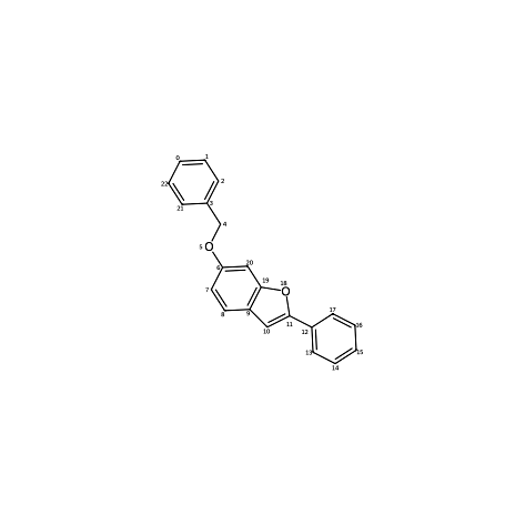 c1ccc(COc2ccc3cc(-c4ccccc4)oc3c2)cc1